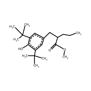 CCCC(Cc1cc(C(C)(C)C)c(O)c(C(C)(C)C)c1)C(=O)OC